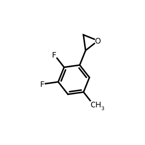 Cc1cc(F)c(F)c(C2CO2)c1